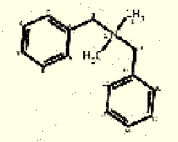 C[N+](C)(Cc1ccccc1)Cc1ccccc1